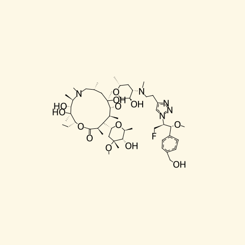 CC[C@H]1OC(=O)[C@H](C)C([C@H]2C[C@@](C)(OC)[C@@H](O)[C@H](C)O2)[C@H](C)[C@@H](O[C@@H]2O[C@H](C)C[C@H](N(C)CCc3cn([C@H](CF)[C@H](OC)c4ccc(CO)cc4)nn3)[C@H]2O)[C@](C)(O)C[C@@H](C)CN(C)[C@H](C)[C@@H](O)[C@]1(C)O